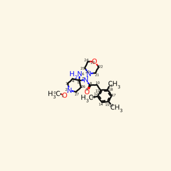 CON1CCC(N)(N(C(=O)Cc2c(C)cc(C)cc2C)N2CCOCC2)CC1